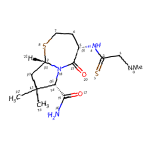 CNCC(=S)N[C@H]1CCS[C@H]2CC(C)(C)[C@@H](C(N)=O)N2C1=O